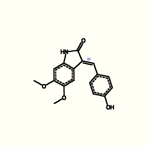 COc1cc2c(cc1OC)/C(=C\c1ccc(O)cc1)C(=O)N2